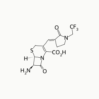 N[C@@H]1C(=O)N2C(C(=O)O)=C(C=C3CCN(CC(F)(F)F)C3=O)CS[C@H]12